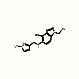 Cn1ccc(CNc2ccc3c(nnn3CC(C)(C)C)c2Br)n1